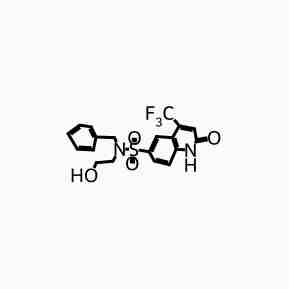 O=c1cc(C(F)(F)F)c2cc(S(=O)(=O)N(CCO)Cc3ccccc3)ccc2[nH]1